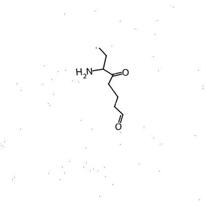 [CH2]CC(N)C(=O)CCCC=O